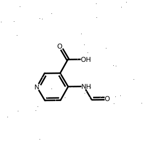 O=CNc1ccncc1C(=O)O